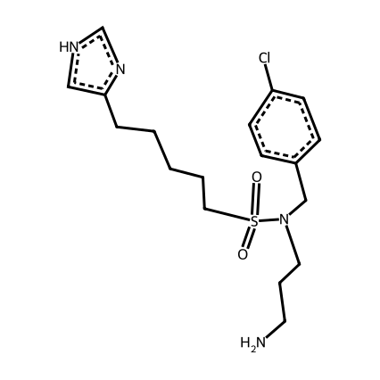 NCCCN(Cc1ccc(Cl)cc1)S(=O)(=O)CCCCCc1c[nH]cn1